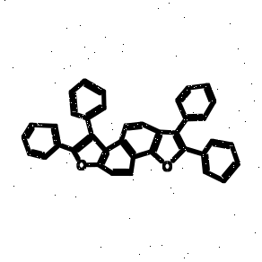 c1ccc(-c2oc3c(ccc4c3ccc3oc(-c5ccccc5)c(-c5ccccc5)c34)c2-c2ccccc2)cc1